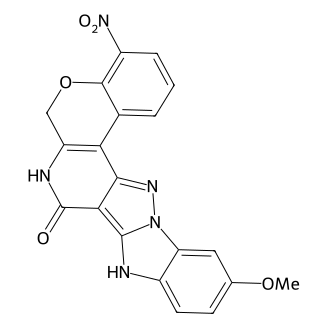 COc1ccc2[nH]c3c4c(=O)[nH]c5c(c4nn3c2c1)-c1cccc([N+](=O)[O-])c1OC5